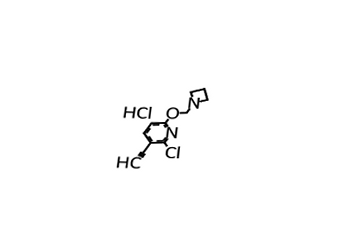 C#Cc1ccc(OCN2CCC2)nc1Cl.Cl